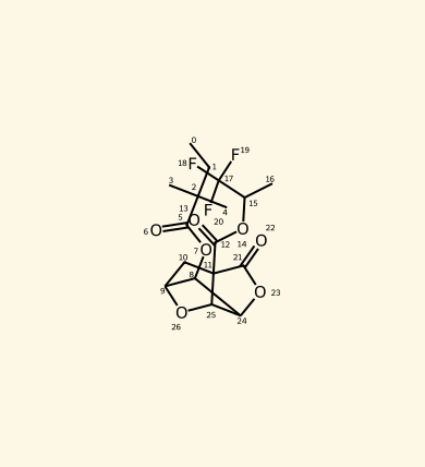 CCC(C)(C)C(=O)OC1C2CC3(C(=O)OC(C)C(F)(F)F)C(=O)OC1C3O2